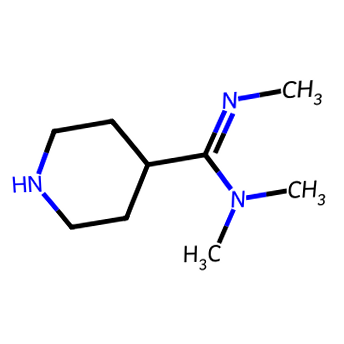 CN=C(C1CCNCC1)N(C)C